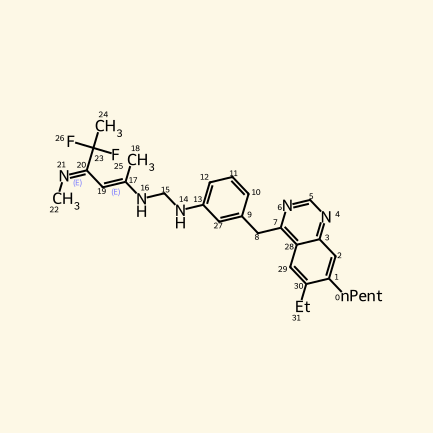 CCCCCc1cc2ncnc(Cc3cccc(NCN/C(C)=C/C(=N\C)C(C)(F)F)c3)c2cc1CC